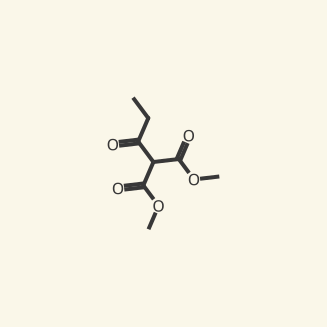 CCC(=O)C(C(=O)OC)C(=O)OC